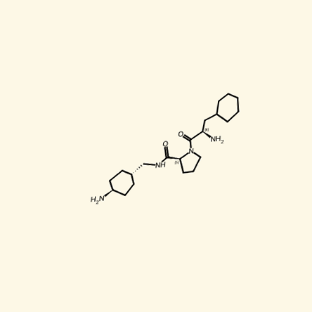 N[C@H](CC1CCCCC1)C(=O)N1CCC[C@H]1C(=O)NC[C@H]1CC[C@H](N)CC1